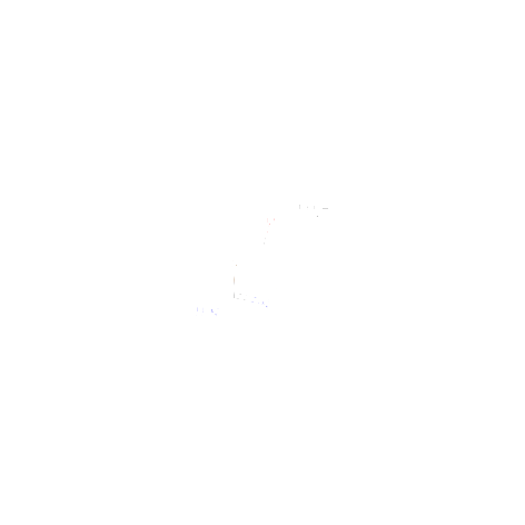 Nc1ncc(OC(=O)O)s1